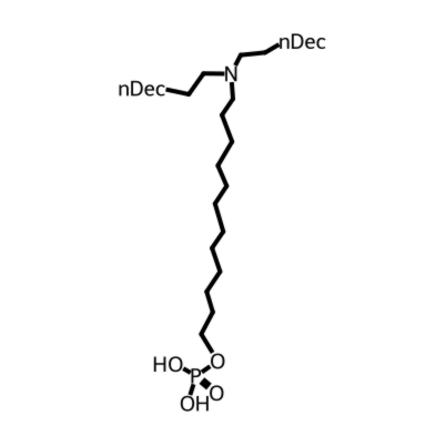 CCCCCCCCCCCCN(CCCCCCCCCCCC)CCCCCCCCCCCCOP(=O)(O)O